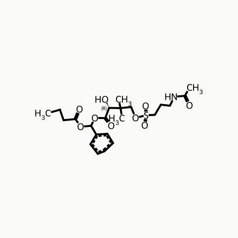 CCCC(=O)OC(OC(=O)[C@H](O)C(C)(C)COS(=O)(=O)CCCNC(C)=O)c1ccccc1